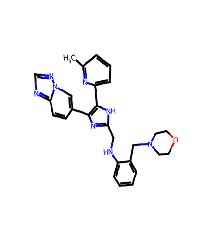 Cc1cccc(-c2[nH]c(CNc3ccccc3CN3CCOCC3)nc2-c2ccc3ncnn3c2)n1